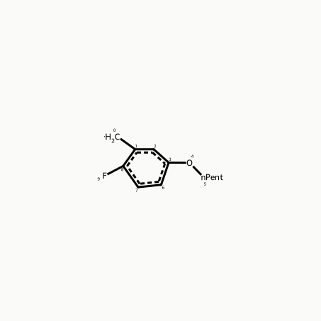 [CH2]c1cc(OCCCCC)ccc1F